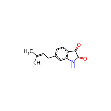 CC(C)=CCc1ccc2c(c1)NC(=O)C2=O